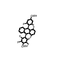 COc1cc(F)c(-c2c3ccccc3c(-c3c(F)c(F)c(OC)c(F)c3F)c3c(F)ccc(F)c23)c(F)c1